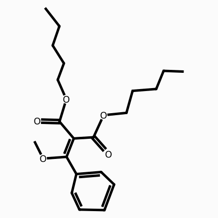 CCCCCOC(=O)C(C(=O)OCCCCC)=C(OC)c1ccccc1